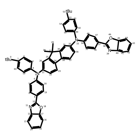 CC(C)(C)c1ccc(N(c2ccc(-c3nc4ccccc4o3)cc2)c2ccc3c(c2)C(C)(C)c2cc(N(c4ccc(-c5nc6ccccc6o5)cc4)c4ccc(C(C)(C)C)cc4)ccc2-3)cc1